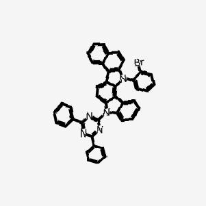 Brc1ccccc1-n1c2ccc3ccccc3c2c2ccc3c(c4ccccc4n3-c3nc(-c4ccccc4)nc(-c4ccccc4)n3)c21